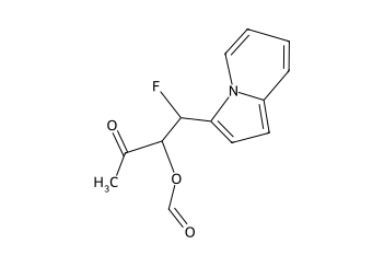 CC(=O)C(OC=O)C(F)c1ccc2ccccn12